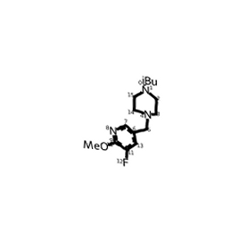 CCC(C)N1CCN(Cc2cnc(OC)c(F)c2)CC1